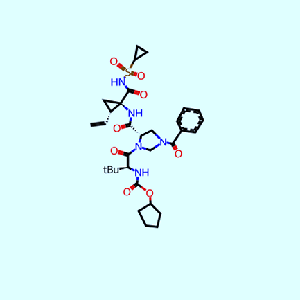 C=C[C@@H]1C[C@]1(NC(=O)[C@@H]1CN(C(=O)c2ccccc2)CN1C(=O)[C@@H](NC(=O)OC1CCCC1)C(C)(C)C)C(=O)NS(=O)(=O)C1CC1